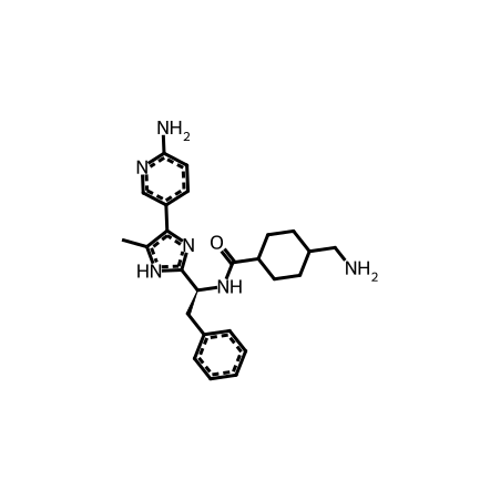 Cc1[nH]c([C@H](Cc2ccccc2)NC(=O)C2CCC(CN)CC2)nc1-c1ccc(N)nc1